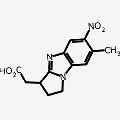 Cc1cc2c(cc1[N+](=O)[O-])nc1n2CCC1CC(=O)O